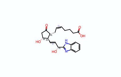 O=C(O)CCC/C=C\C[C@H]1C(=O)C[C@@H](O)[C@@H]1/C=C/[C@@H](O)c1nc2ccccc2[nH]1